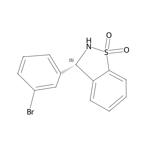 O=S1(=O)N[C@@H](c2cccc(Br)c2)c2ccccc21